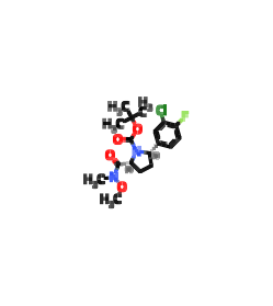 CON(C)C(=O)[C@H]1CC[C@@H](c2ccc(F)c(Cl)c2)N1C(=O)OC(C)(C)C